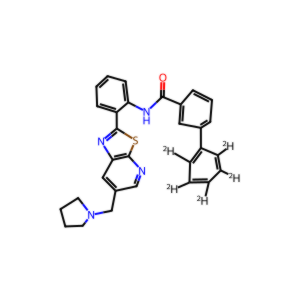 [2H]c1c([2H])c([2H])c(-c2cccc(C(=O)Nc3ccccc3-c3nc4cc(CN5CCCC5)cnc4s3)c2)c([2H])c1[2H]